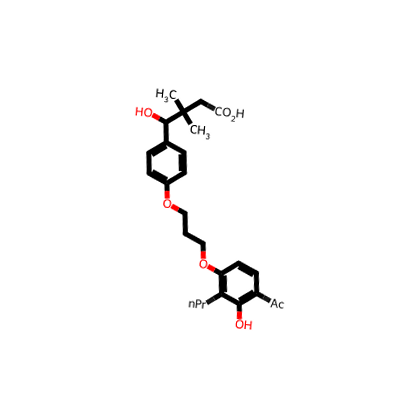 CCCc1c(OCCCOc2ccc(C(O)C(C)(C)CC(=O)O)cc2)ccc(C(C)=O)c1O